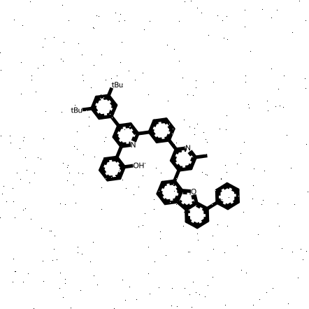 Cc1cc(-c2cccc3c2oc2c(-c4ccccc4)cccc23)cc(-c2cccc(-c3cc(-c4cc(C(C)(C)C)cc(C(C)(C)C)c4)cc(-c4ccccc4O)n3)c2)n1